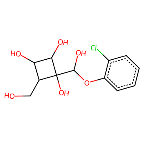 OCC1C(O)C(O)C1(O)C(O)Oc1ccccc1Cl